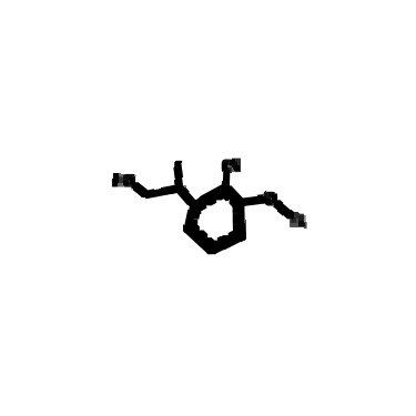 CCOc1cccc([C](C)CO)c1C#N